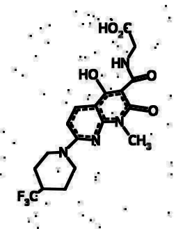 Cn1c(=O)c(C(=O)NCC(=O)O)c(O)c2ccc(N3CCC(C(F)(F)F)CC3)nc21